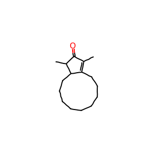 CC1=C2CCCCCCCCCC2C(C)C1=O